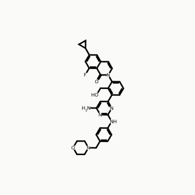 Nc1cc(-c2cccc(-n3ccc4cc(C5CC5)cc(F)c4c3=O)c2CO)nc(Nc2ccc(CN3CCOCC3)cc2)n1